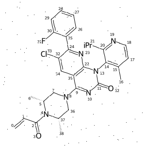 C=CC(=O)N1[C@H](C)CN(c2nc(=O)n(-c3c(C)ccnc3C(C)C)c3nc(-c4ccccc4F)c(Cl)cc23)C[C@@H]1C